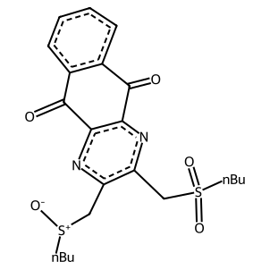 CCCC[S+]([O-])Cc1nc2c(nc1CS(=O)(=O)CCCC)C(=O)c1ccccc1C2=O